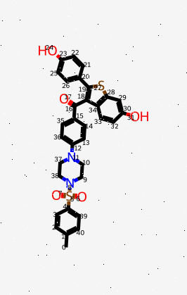 Cc1ccc(S(=O)(=O)N2CCN(c3ccc(C(=O)c4c(-c5ccc(O)cc5)sc5cc(O)ccc45)cc3)CC2)cc1